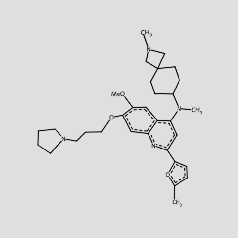 COc1cc2c(N(C)C3CCC4(CC3)CN(C)C4)cc(-c3ccc(C)o3)nc2cc1OCCCN1CCCC1